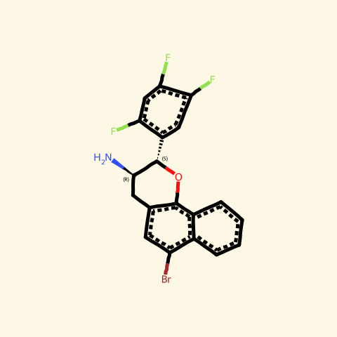 N[C@@H]1Cc2cc(Br)c3ccccc3c2O[C@H]1c1cc(F)c(F)cc1F